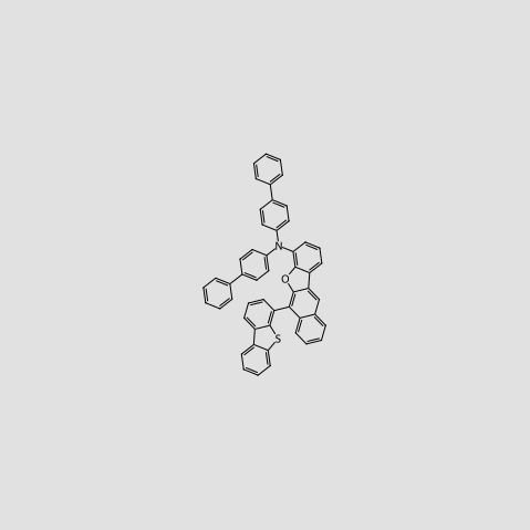 c1ccc(-c2ccc(N(c3ccc(-c4ccccc4)cc3)c3cccc4c3oc3c(-c5cccc6c5sc5ccccc56)c5ccccc5cc34)cc2)cc1